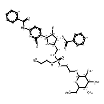 CC(=O)OCC1O[C@@H](OCCOP(=O)(OCCC#N)OC[C@H]2S[C@@H](n3ccc(NC(=O)c4ccccc4)nc3=O)[C@@H](F)[C@@H]2OC(=O)c2ccccc2)C(OC(C)=O)C(OC(C)=O)[C@@H]1OC(C)=O